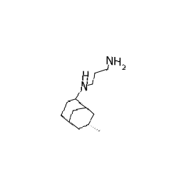 C[C@@H]1CC2CCC(NCCCN)C(C2)C1